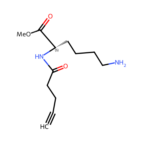 C#CCCC(=O)N[C@@H](CCCCN)C(=O)OC